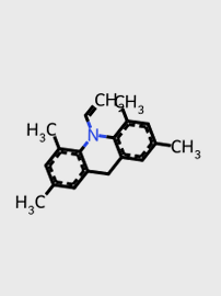 C=CN1c2c(C)cc(C)cc2Cc2cc(C)cc(C)c21